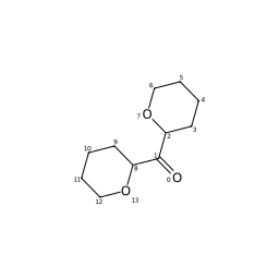 O=C(C1CCCCO1)C1CCCCO1